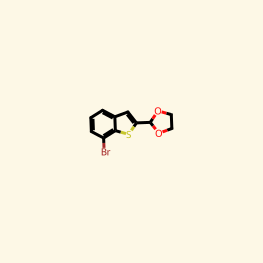 Brc1cccc2cc(C3OCCO3)sc12